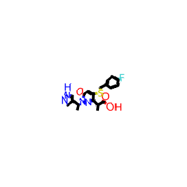 CC(C(=O)O)c1nn(C(C)c2cn[nH]c2)c(=O)cc1SCc1ccc(F)cc1